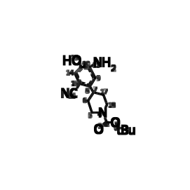 CC(C)(C)OC(=O)N1CCC(c2cc(N)c(O)cc2C#N)CC1